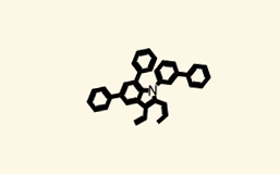 C=Cc1c(/C=C\C)n(-c2cccc(-c3ccccc3)c2)c2c(-c3ccccc3)cc(-c3ccccc3)cc12